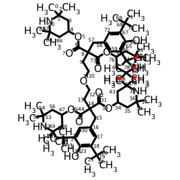 CC1(C)CC(OC(=O)C(CCOCCC(Cc2cc(C(C)(C)C)c(O)c(C(C)(C)C)c2)(C(=O)OC2CC(C)(C)NC(C)(C)C2)C(=O)OC2CC(C)(C)NC(C)(C)C2)(Cc2cc(C(C)(C)C)c(O)c(C(C)(C)C)c2)C(=O)OC2CC(C)(C)NC(C)(C)C2)CC(C)(C)N1